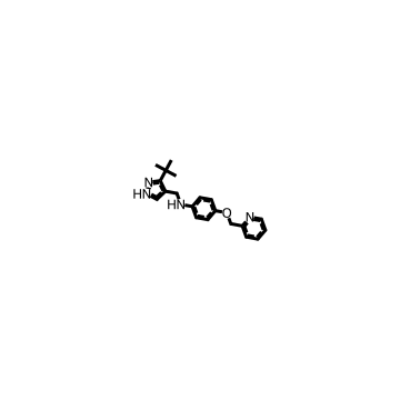 CC(C)(C)c1n[nH]cc1CNc1ccc(OCc2ccccn2)cc1